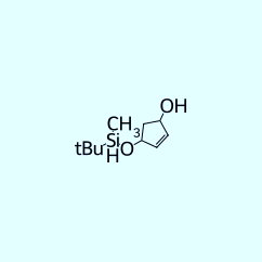 C[SiH](OC1C=CC(O)C1)C(C)(C)C